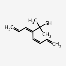 C=C/C=C\C(=C/C=C)C(C)(C)S